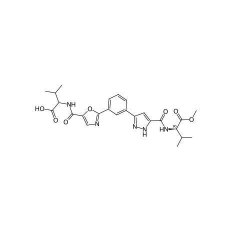 COC(=O)[C@H](NC(=O)c1cc(-c2cccc(-c3ncc(C(=O)NC(C(=O)O)C(C)C)o3)c2)n[nH]1)C(C)C